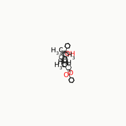 C[C@H]([C@H](O)c1ccccc1)[C@H]1CC[C@H]2[C@@H]3CC=C4C[C@@H](OC(=O)c5ccccc5)CC[C@]4(C)[C@H]3CC[C@]12C